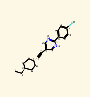 CC[C@H]1CC[C@H](C#Cc2cnc(-c3ccc(F)cc3)nc2)CC1